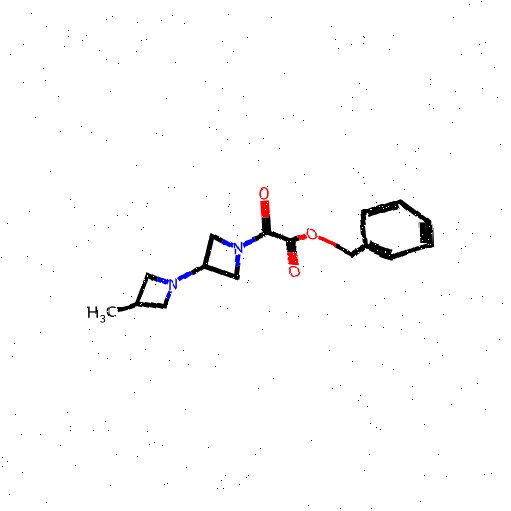 CC1CN(C2CN(C(=O)C(=O)OCc3ccccc3)C2)C1